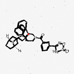 Cc1nc2ccccc2n1C1C[C@H]2CC[C@@H](C1)N2CCC1(c2ccccc2)CCN(C(=O)c2cccc(C3=NOS(=O)N3)c2)CC1